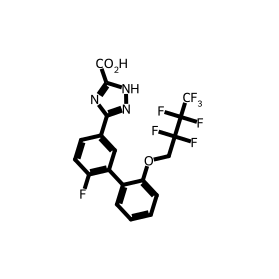 O=C(O)c1nc(-c2ccc(F)c(-c3ccccc3OCC(F)(F)C(F)(F)C(F)(F)F)c2)n[nH]1